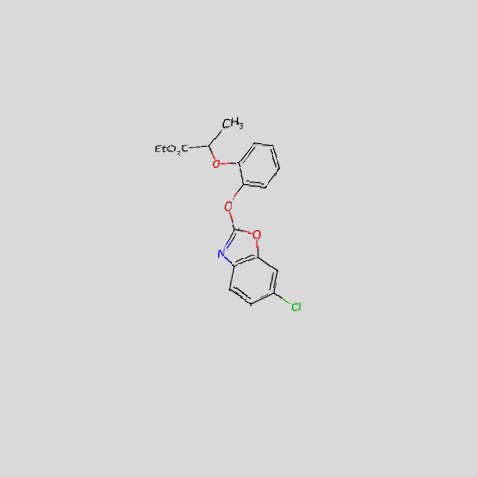 CCOC(=O)C(C)Oc1ccccc1Oc1nc2ccc(Cl)cc2o1